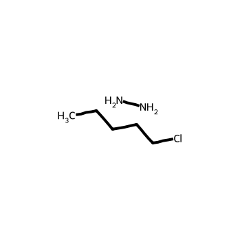 CCCCCCl.NN